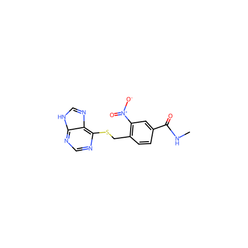 CNC(=O)c1ccc(CSc2ncnc3[nH]cnc23)c([N+](=O)[O-])c1